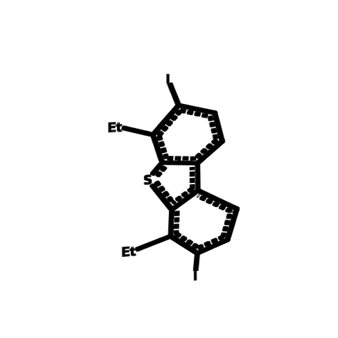 CCc1c(I)ccc2c1sc1c(CC)c(I)ccc12